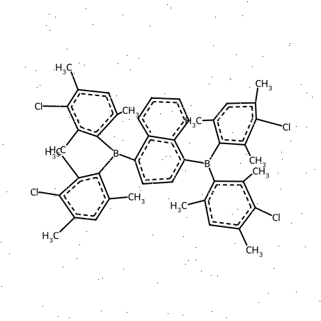 Cc1cc(C)c(B(c2c(C)cc(C)c(Cl)c2C)c2ccc(B(c3c(C)cc(C)c(Cl)c3C)c3c(C)cc(C)c(Cl)c3C)c3ccccc23)c(C)c1Cl